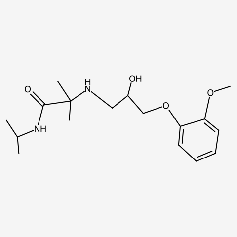 COc1ccccc1OCC(O)CNC(C)(C)C(=O)NC(C)C